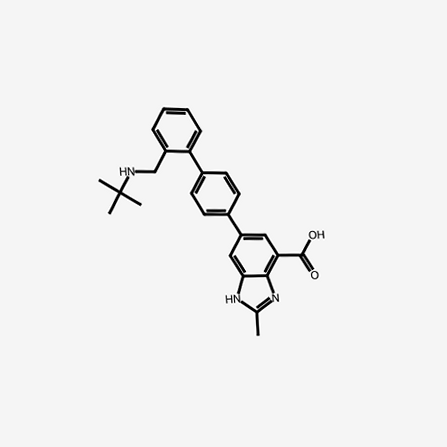 Cc1nc2c(C(=O)O)cc(-c3ccc(-c4ccccc4CNC(C)(C)C)cc3)cc2[nH]1